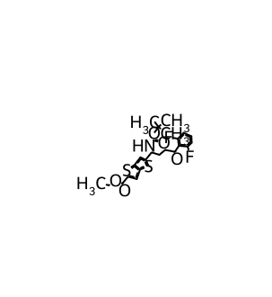 CCOC(=O)c1cc2sc(C(CCC(=O)c3c(F)cccc3F)NC(=O)OC(C)(C)C)cc2s1